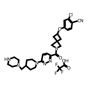 N#Cc1ccc(OC2CC3(C2)CN(C(=O)c2ccc(N4CCC(CN5CCNCC5)CC4)nn2)C3)cc1Cl.O=C(O)C(F)(F)F